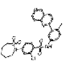 Cc1ccc(NS(=O)(=O)c2ccc(N3CCCCCS3(=O)=O)cc2Cl)cc1-c1ccc2cnccc2n1